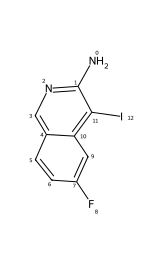 Nc1ncc2ccc(F)cc2c1I